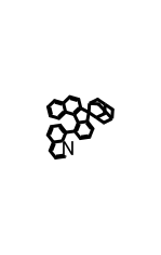 c1cc(-c2cccc3cccnc23)c2c(c1)C1(c3ccc4ccccc4c3-2)C2CC3CC(C2)CC1C3